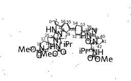 C/C=C(\NC1=NC(C)([C@@H](NC(=O)OC)C(C)C)N2CC3(CCN(C(=O)OC)CC3)CC12)c1ccc(-c2ccc(-c3cnc([C@@H]4CCCN4C(=O)[C@@H](NC(=O)OC)C(C)C)[nH]3)cc2)cc1